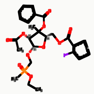 CCOP(C)(=O)CO[C@H]1O[C@@H](COC(=O)c2ccccc2I)C(C)(OC(=O)c2ccccc2)[C@H]1OC(C)=O